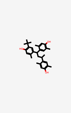 Cc1cc(C(C)CC(c2cc(C)c(O)cc2C)c2cc(C(C)(C)C)c(O)cc2C)c(C)cc1O